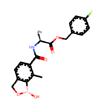 Cc1c(C(=O)N[C@H](C(=O)OCc2ccc(F)cc2)C(C)C)ccc2c1B(O)OC2